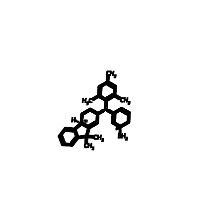 B[C@H]1C=C(N(c2c(C)cc(C)cc2C)C2C=C3[C@H](CC2)c2ccccc2C3(C)C)C=CC1